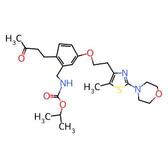 CC(=O)CCc1ccc(OCCc2nc(N3CCOCC3)sc2C)cc1CNC(=O)OC(C)C